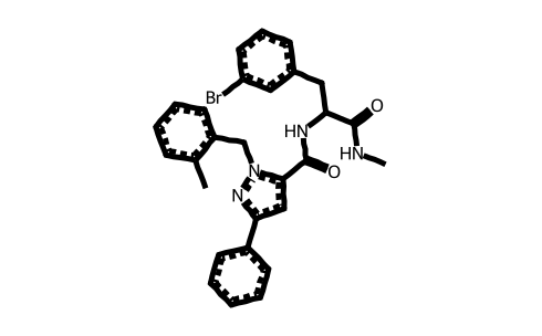 CNC(=O)C(Cc1cccc(Br)c1)NC(=O)c1cc(-c2ccccc2)nn1Cc1ccccc1C